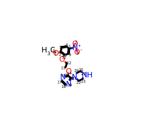 COc1ccc([N+](=O)[O-])cc1OCCOc1nccnc1N1CCNCC1